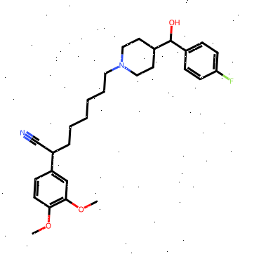 COc1ccc(C(C#N)CCCCCCN2CCC(C(O)c3ccc(F)cc3)CC2)cc1OC